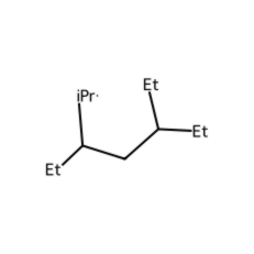 CCC(CC)CC(CC)[C](C)C